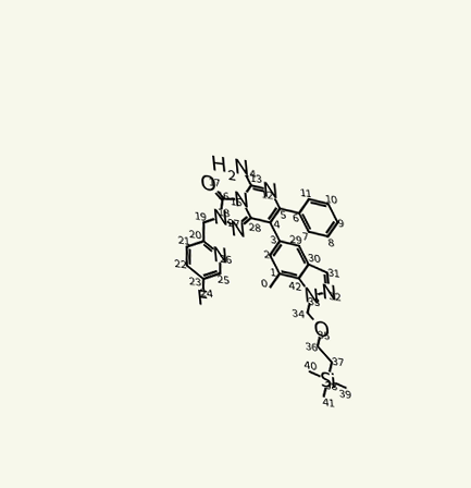 Cc1cc(-c2c(-c3ccccc3)nc(N)n3c(=O)n(Cc4ccc(F)cn4)nc23)cc2cnn(COCC[Si](C)(C)C)c12